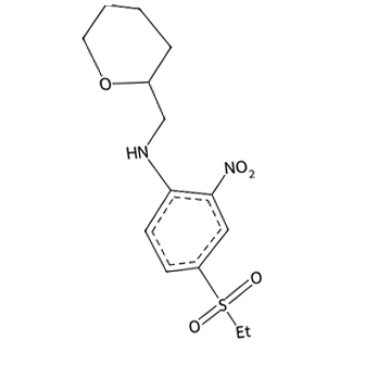 CCS(=O)(=O)c1ccc(NCC2CCCCO2)c([N+](=O)[O-])c1